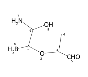 BC(OC(C)C=O)C(N)O